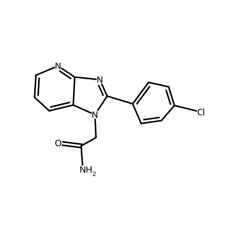 NC(=O)Cn1c(-c2ccc(Cl)cc2)nc2ncccc21